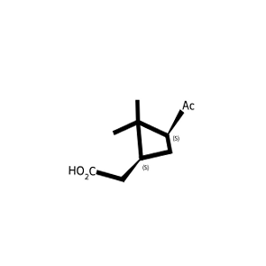 CC(=O)[C@H]1C[C@@H](CC(=O)O)C1(C)C